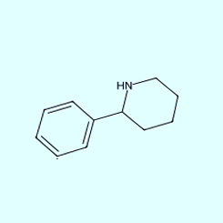 [c]1cccc(C2CCCCN2)c1